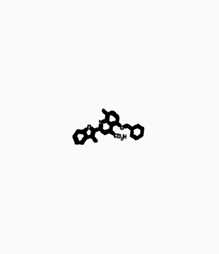 Cc1c(-c2cc(C(=O)O)c3c(OCC4CCCCC4)ccc(C)c3n2)oc2ccccc12